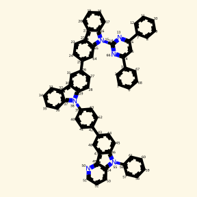 c1ccc(-c2cc(-c3ccccc3)nc(-n3c4ccccc4c4ccc(-c5ccc6c(c5)c5ccccc5n6-c5ccc(-c6ccc7c(c6)c6ncccc6n7-c6ccccc6)cc5)cc43)n2)cc1